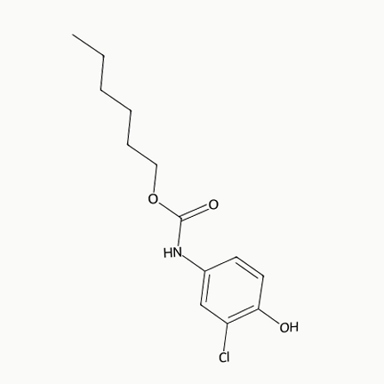 CCCCCCOC(=O)Nc1ccc(O)c(Cl)c1